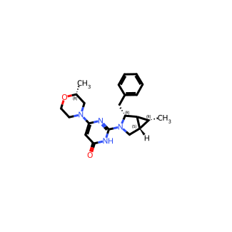 C[C@@H]1CN(c2cc(=O)[nH]c(N3C[C@@H]4C([C@H]3Cc3ccccc3)[C@@H]4C)n2)CCO1